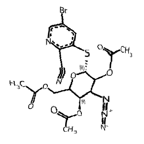 CC(=O)OCC1O[C@H](Sc2cc(Br)cnc2C#N)C(OC(C)=O)C(N=[N+]=[N-])[C@H]1OC(C)=O